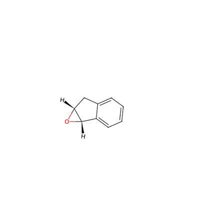 c1ccc2c(c1)C[C@H]1O[C@@H]21